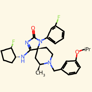 CC(C)Oc1cccc(CN2CC[C@@]3(C[C@@H]2C)C(N[C@@H]2CCC[C@H]2F)=NC(=O)N3c2cccc(F)c2)c1